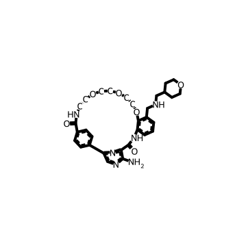 Nc1ncc2nc1C(=O)Nc1cccc(CNCC3CCOCC3)c1OCCOCCOCCNC(=O)c1ccc-2cc1